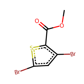 COC(=O)c1sc(Br)cc1Br